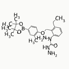 CCc1cccc(N(N)C(=O)NN)c1COc1ccc(B2OC(C)(C)C(C)(C)O2)cc1C